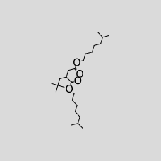 CC(C)CCCCCOC(=O)CC(CC(C)(C)C)C(=O)OCCCCCC(C)C